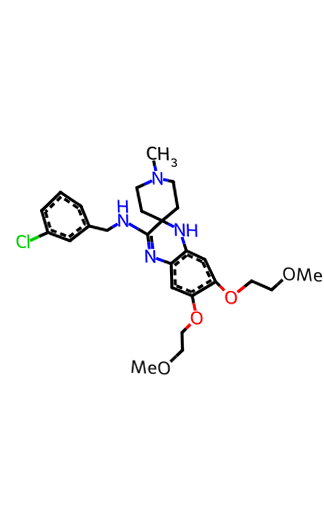 COCCOc1cc2c(cc1OCCOC)NC1(CCN(C)CC1)C(NCc1cccc(Cl)c1)=N2